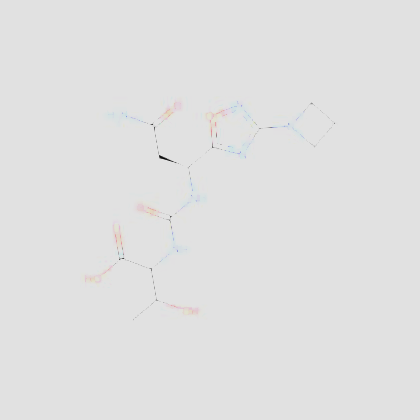 CC(O)C(NC(=O)N[C@@H](CC(N)=O)c1nc(N2CCC2)no1)C(=O)O